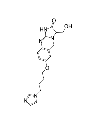 O=C1NC2=Nc3ccc(OCCCCn4ccnc4)cc3CN2C1CO